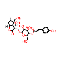 C[C@H]1C[C@@H]2OC(=O)[C@@H](CO[C@@H]3O[C@H](CO)[C@@H](OC(=O)/C=C/c4ccc(O)cc4)[C@H](O)[C@H]3O)[C@@H]2[C@]1(O)CO